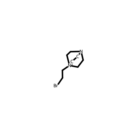 BrCC[N+]12CCN(CC1)CC2